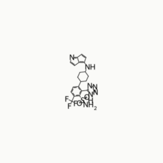 NS(=O)(=O)c1c(C(F)(F)F)ccc(C2CCC(NC3=C4C=CN=C4C=C3)CC2)c1-c1nnn[nH]1